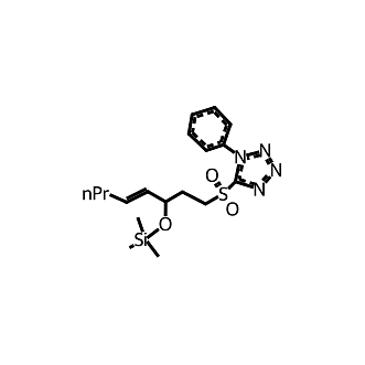 CCC/C=C/C(CCS(=O)(=O)c1nnnn1-c1ccccc1)O[Si](C)(C)C